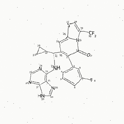 O=c1c(-c2cccc(F)c2)c(C(Nc2ncnc3[nH]cnc23)C2CC2)cc2scc(C(F)(F)F)n12